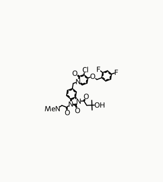 CNCC(=O)n1c(=O)n(C(=O)CC(C)(C)O)c2cc(Cn3ccc(OCc4ccc(F)cc4F)c(Cl)c3=O)ccc21